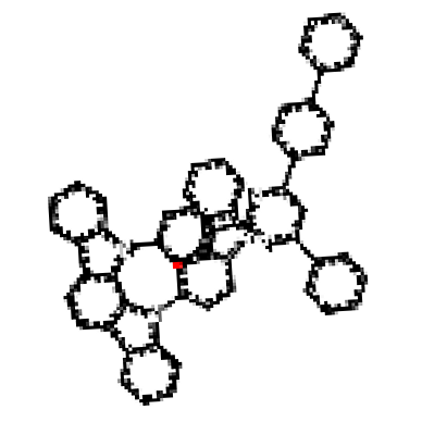 c1ccc(-c2ccc(-c3cc(-c4ccccc4)nc(-c4ccc(-n5c6ccccc6c6ccc7c8ccccc8n(-c8ccc9sc%10ccccc%10c9c8)c7c65)cc4)n3)cc2)cc1